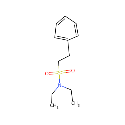 CCN(CC)S(=O)(=O)CCc1ccccc1